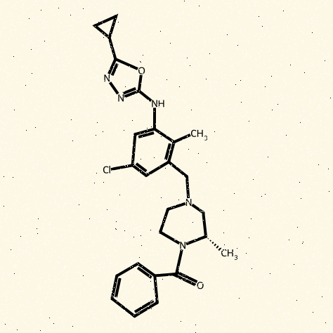 Cc1c(CN2CCN(C(=O)c3ccccc3)[C@@H](C)C2)cc(Cl)cc1Nc1nnc(C2CC2)o1